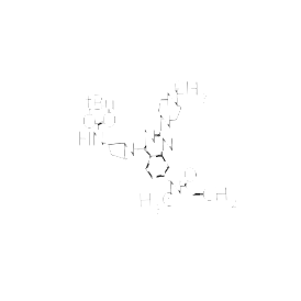 C=CC(=O)N(C)c1ccc2c(N3CC[C@@H](NC(=O)OC(C)(C)C)C3)nc(N3CCN(C)CC3)nc2c1